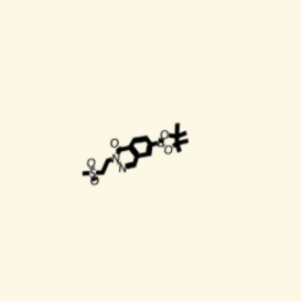 CC1(C)OB(c2ccc3c(=O)n(CCS(C)(=O)=O)ncc3c2)OC1(C)C